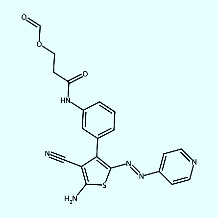 N#Cc1c(N)sc(N=Nc2ccncc2)c1-c1cccc(NC(=O)CCOC=O)c1